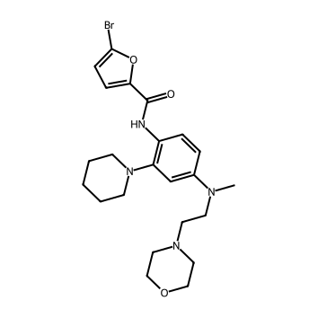 CN(CCN1CCOCC1)c1ccc(NC(=O)c2ccc(Br)o2)c(N2CCCCC2)c1